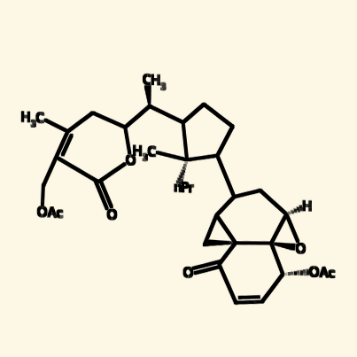 CCC[C@@]1(C)C(C2C[C@H]3O[C@]34[C@H](OC(C)=O)C=CC(=O)[C@@]43CC23)CCC1[C@H](C)C1CC(C)=C(COC(C)=O)C(=O)O1